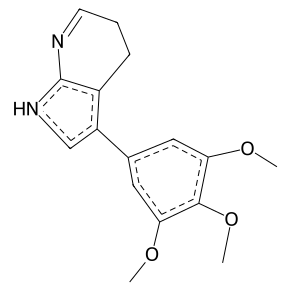 COc1cc(-c2c[nH]c3c2CCC=N3)cc(OC)c1OC